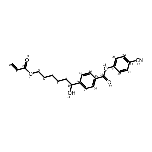 C=CC(=O)OCCCCCC(O)c1ccc(C(=O)Oc2ccc(C#N)cc2)cc1